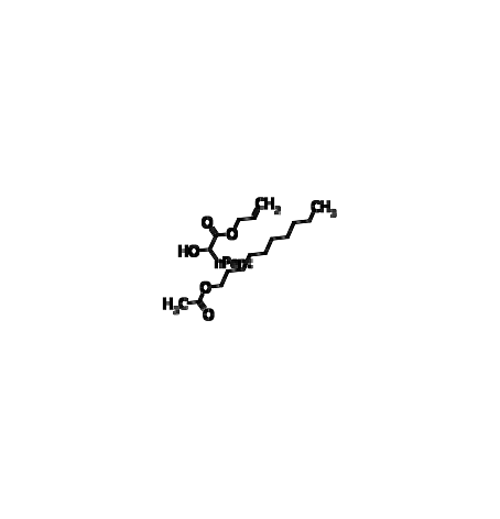 C=CCOC(=O)C(O)CCCCC.CCCCCCCCCCOC(C)=O